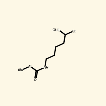 CCC(C=O)CCCCNC(=O)OC(C)(C)C